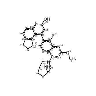 COc1nc(N2CC3CCC(C2)N3)c2cc(F)c(-c3cc(O)cc4ccc5c(c34)CCC5)c(F)c2n1